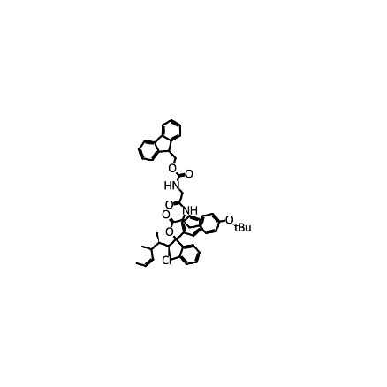 C/C=C\C(C)[C@@H](C)[C@H](C)C(OC(=O)[C@H](Cc1ccc(OC(C)(C)C)cc1)NC(=O)CNC(=O)OCC1c2ccccc2-c2ccccc21)(c1ccccc1)c1ccccc1Cl